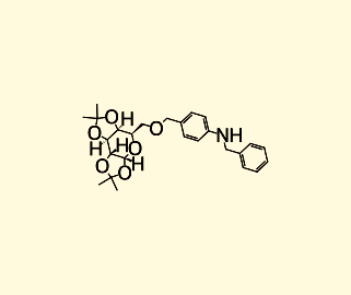 CC1(C)O[C@H]2[C@@H](O1)[C@@H](COCc1ccc(NCc3ccccc3)cc1)O[C@@H]1OC(C)(C)O[C@@H]12